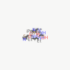 CCC(CCC(CC)NC(=O)C(CO)NC(=O)N(C)Cc1csc(C(C)C)n1)NC(=O)OCc1cncs1